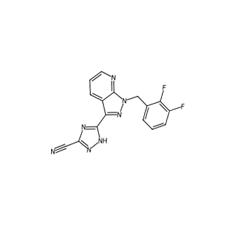 N#Cc1n[nH]c(-c2nn(Cc3cccc(F)c3F)c3ncccc23)n1